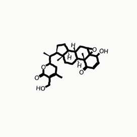 CC1=C(CO)C(=O)OC([C@@H](C)[C@H]2CC[C@H]3[C@@H]4CC5OC56C(O)C=CC(=O)[C@]6(C)[C@H]4CC[C@]23C)C1